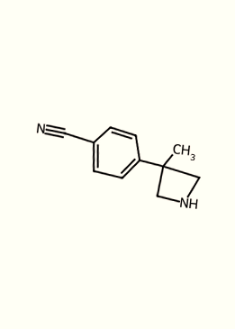 CC1(c2ccc(C#N)cc2)CNC1